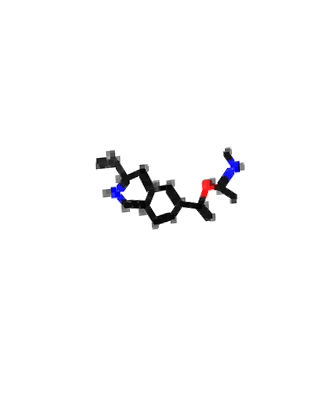 C=C(O/C(C)=N\C)c1ccc2cnc(NC)cc2c1